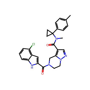 Cc1ccc(C2(N(C)C(=O)c3cnn4c3CN(C(=O)c3cc5c(Cl)cccc5[nH]3)CC4)CC2)cc1